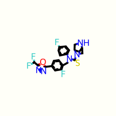 Fc1ccc(N(Cc2ccc(-c3nnc(C(F)F)o3)cc2F)C(=S)N2CC3CC2CN3)cc1